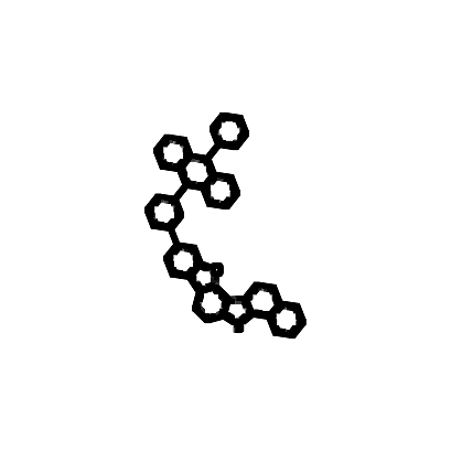 c1ccc(-c2c3ccccc3c(-c3cccc(-c4ccc5c(c4)oc4c5ccc5sc6c7ccccc7ccc6c54)c3)c3ccccc23)cc1